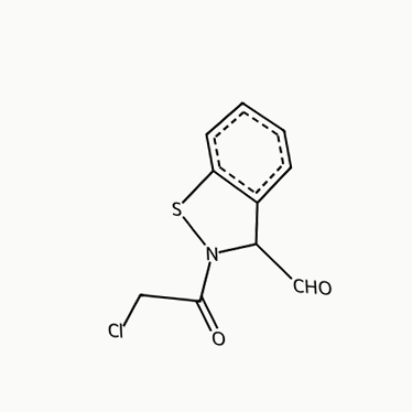 O=CC1c2ccccc2SN1C(=O)CCl